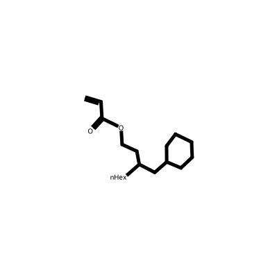 C=CC(=O)OCCC(CCCCCC)CC1CCCCC1